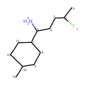 CC(F)CCC(N)C1CCC(C)CC1